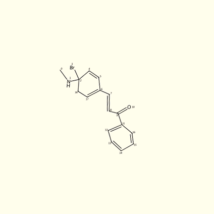 CNC1(Br)C=CC(C=CC(=O)c2ccccc2)=CC1